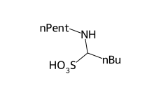 CCCCCNC(CCCC)S(=O)(=O)O